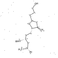 C=C1CC(CCCO)O[C@H]1CC[C@H](C[C@@H](C)C(C)=O)OC